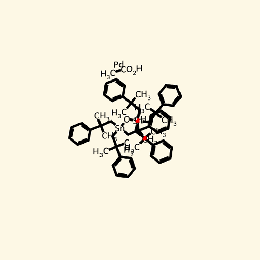 CC(=O)O.CC(C)([CH2][Sn]([CH2]C(C)(C)c1ccccc1)([CH2]C(C)(C)c1ccccc1)[O][Sn]([CH2]C(C)(C)c1ccccc1)([CH2]C(C)(C)c1ccccc1)[CH2]C(C)(C)c1ccccc1)c1ccccc1.[Pd]